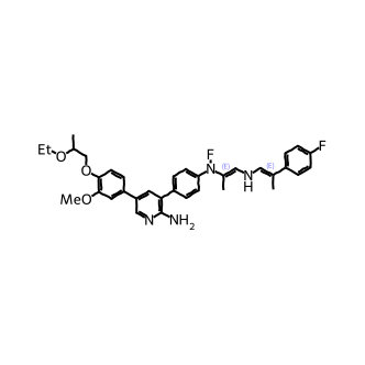 CCOC(C)COc1ccc(-c2cnc(N)c(-c3ccc(N(F)/C(C)=C/N/C=C(\C)c4ccc(F)cc4)cc3)c2)cc1OC